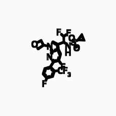 O=S(=O)(NC(c1cn(C2COC2)c2nc(-c3ccc(F)cc3C(F)(F)F)c(F)cc12)C(F)F)C1CC1